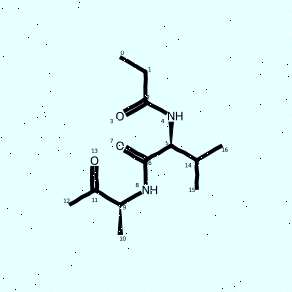 CCC(=O)N[C@H](C(=O)N[C@@H](C)C(C)=O)C(C)C